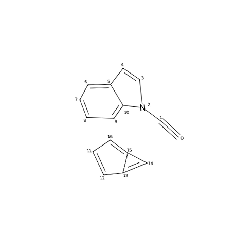 C#Cn1ccc2ccccc21.c1cc2cc-2c1